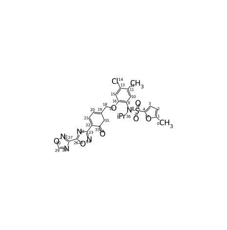 Cc1ccc(S(=O)(=O)N(c2cc(C)c(Cl)cc2OCC2=CC=C(c3noc(-c4ncon4)n3)C(=O)C2)C(C)C)o1